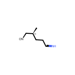 C[C@@H](CCC=N)CN=O